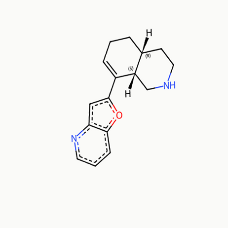 C1=C(c2cc3ncccc3o2)[C@H]2CNCC[C@H]2CC1